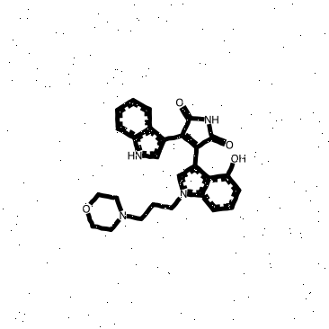 O=C1NC(=O)C(c2cn(CCCN3CCOCC3)c3cccc(O)c23)=C1c1c[nH]c2ccccc12